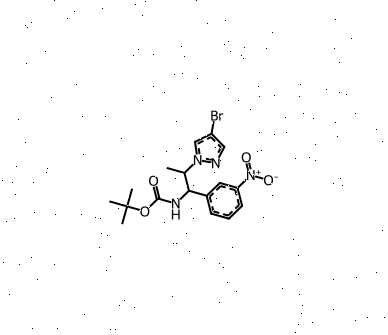 CC(C(NC(=O)OC(C)(C)C)c1cccc([N+](=O)[O-])c1)n1cc(Br)cn1